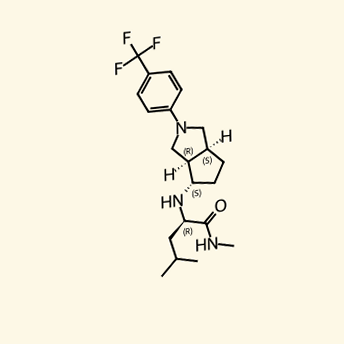 CNC(=O)[C@@H](CC(C)C)N[C@H]1CC[C@@H]2CN(c3ccc(C(F)(F)F)cc3)C[C@@H]21